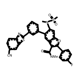 CNC(=O)c1c(-c2ccc(F)cc2)oc2cc(N(C)S(C)(=O)=O)c(-c3cccc(-c4nc5ccc(C#N)cc5s4)c3)cc12